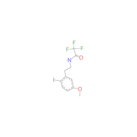 COc1ccc(I)c(CC[N]C(=O)C(F)(F)F)c1